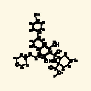 COC(=O)C1(NC(=O)c2c(O)c3cc(-c4ccc(F)cc4)cnc3n(CCN3CCOCC3)c2=O)CCC(C)CC1